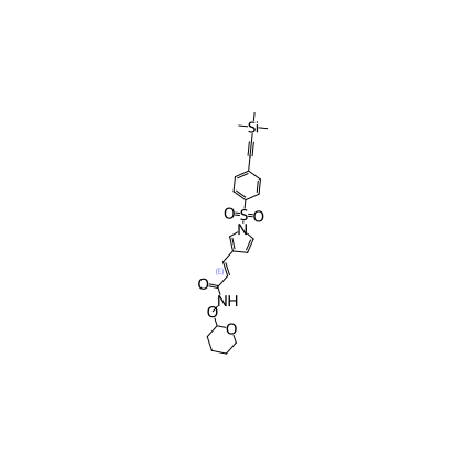 C[Si](C)(C)C#Cc1ccc(S(=O)(=O)n2ccc(/C=C/C(=O)NOC3CCCCO3)c2)cc1